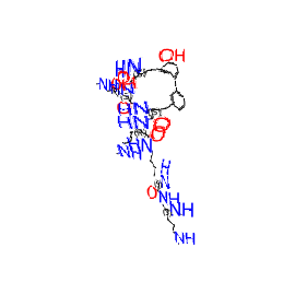 CNCCC[C@@H](CNC(=O)[C@H](CCCCNC(=O)[C@@H](CCCNC)NC(=O)[C@@H]1Cc2cccc(c2)-c2ccc(O)c(c2)C[C@H](NC)C(=O)N[C@@H](C[C@@H](O)CNC)C(=O)N1)NC)NC